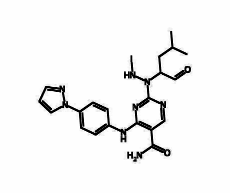 CC(C)CC(C=O)N(NI)c1ncc(C(N)=O)c(Nc2ccc(-n3cccn3)cc2)n1